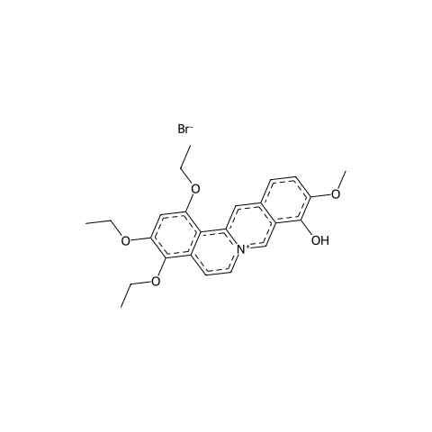 CCOc1cc(OCC)c2c(cc[n+]3cc4c(O)c(OC)ccc4cc23)c1OCC.[Br-]